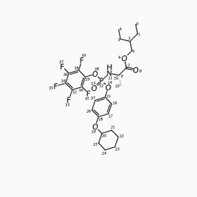 CCC(CC)COC(=O)[C@H](C)NP(=O)(Oc1ccc(OC2CCCCC2)cc1)Oc1c(F)c(F)c(F)c(F)c1F